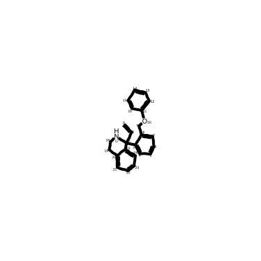 C=CC1(c2ccccc2COc2ccccc2)NCCc2ccccc21